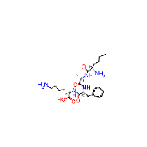 CCCC[C@H](N)C(=O)N[C@@H](C)C(=O)N[C@@H](Cc1ccccc1)C(=O)N[C@@H](CCCCN)C(=O)O